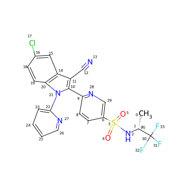 C[C@@H](NS(=O)(=O)c1ccc(-c2c(C#N)c3cc(Cl)ccc3n2-c2ccccn2)nc1)C(F)(F)F